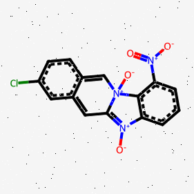 O=[N+]([O-])c1cccc2c1[N+]1([O-])C=c3ccc(Cl)cc3=CC1=[N+]2[O-]